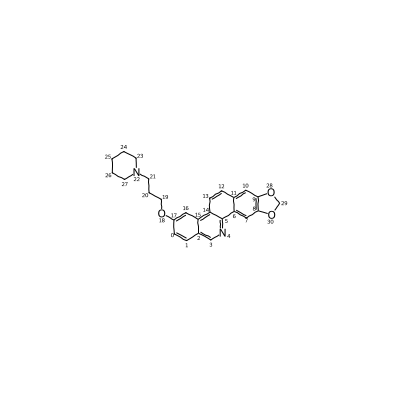 c1cc2cnc3c4cc5c(cc4ccc3c2cc1OCCCN1CCCCC1)OCO5